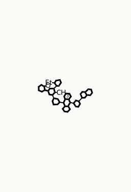 CCc1ccccc1-c1c(C)c(-c2cccc(-c3c4ccccc4c(-c4cccc(-c5ccc6ccccc6c5)c4)c4ccccc34)c2)cc2c1oc1ccccc12